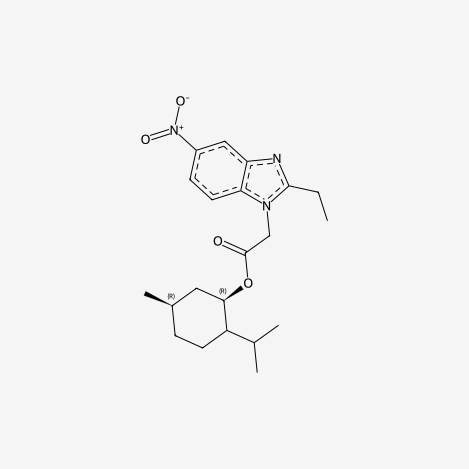 CCc1nc2cc([N+](=O)[O-])ccc2n1CC(=O)O[C@@H]1C[C@H](C)CCC1C(C)C